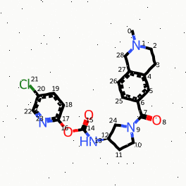 CN1CCc2cc(C(=O)N3CC[C@@H](NC(=O)Oc4ccc(Cl)cn4)C3)ccc2C1